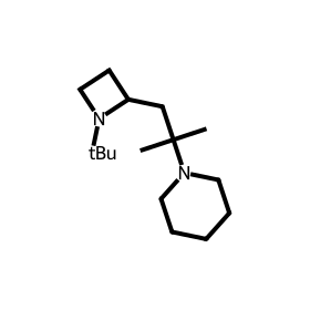 CC(C)(C)N1CCC1CC(C)(C)N1CCCCC1